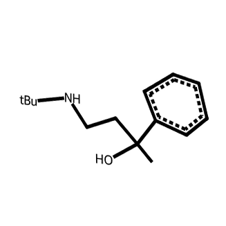 CC(C)(C)NCCC(C)(O)c1ccccc1